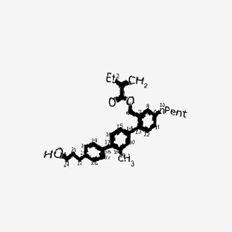 C=C(CC)C(=O)OCc1cc(CCCCC)ccc1-c1ccc(-c2ccc(CCCO)cc2)c(C)c1